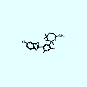 CC1(C)OCC(N)=NC(C)(c2cc(-c3nc4cc(Cl)ccc4o3)c(F)cc2F)C1(F)F